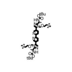 C[C@H](NC(=O)OC(C)(C)C)c1ncc(-c2ccc(-c3ccc(-c4cnc([C@H](C)NC(=O)OC(C)(C)C)n4COCC[Si](C)(C)C)cn3)nc2)n1COCC[Si](C)(C)C